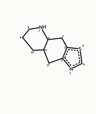 c1nc2c(s1)CC1NCCCC1C2